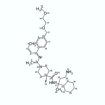 C=C(/N=C(\C=C/C)c1ccc(COCCOC)cc1)N1CCC(F)(C(=O)NC(C)(CCN)C2CCCCC2)CC1